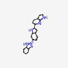 c1ccc2[nH][n+](-c3ccc4cc(-c5ccc6cc[nH]c6n5)[nH]c4c3)nc2c1